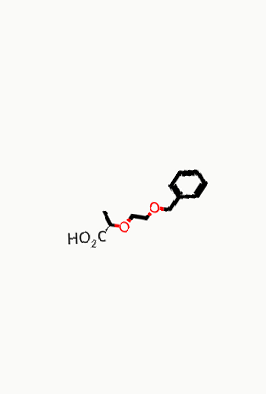 C[C@H](OCCOCc1ccccc1)C(=O)O